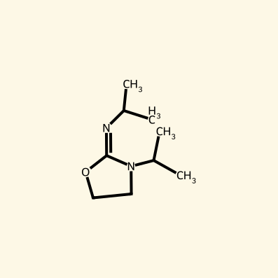 CC(C)/N=C1/OCCN1C(C)C